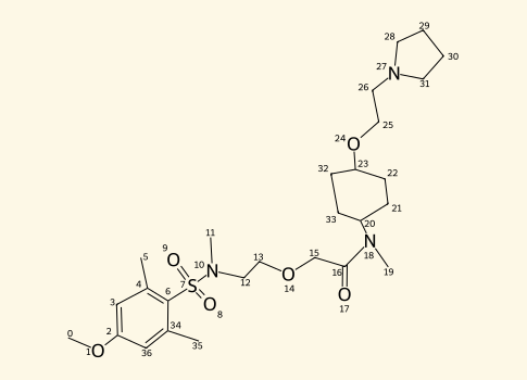 COc1cc(C)c(S(=O)(=O)N(C)CCOCC(=O)N(C)C2CCC(OCCN3CCCC3)CC2)c(C)c1